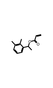 C=CC(=O)OC(C)c1cccc(C)c1C